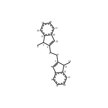 CC1C(CCC2=Cc3ccccc3C2C)=Cc2ccccc21